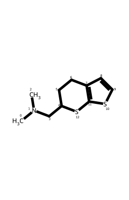 CN(C)CC1CCc2ccsc2S1